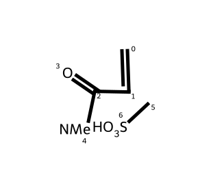 C=CC(=O)NC.CS(=O)(=O)O